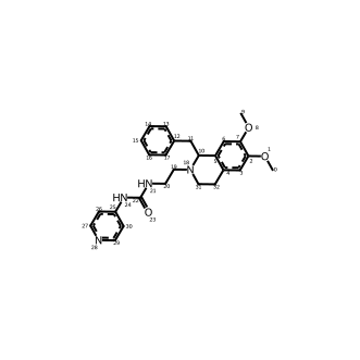 COc1cc2c(cc1OC)C(Cc1ccccc1)N(CCNC(=O)Nc1ccncc1)CC2